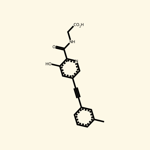 Cc1cccc(C#Cc2cnc(C(=O)NCC(=O)O)c(O)c2)c1